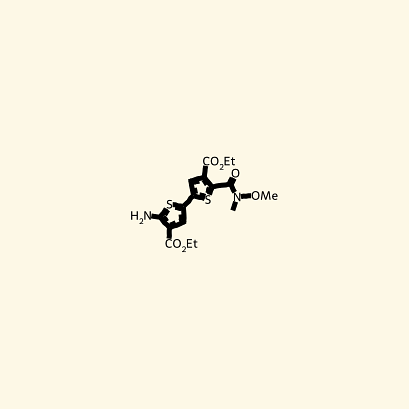 CCOC(=O)c1cc(-c2cc(C(=O)OCC)c(C(=O)N(C)OC)s2)sc1N